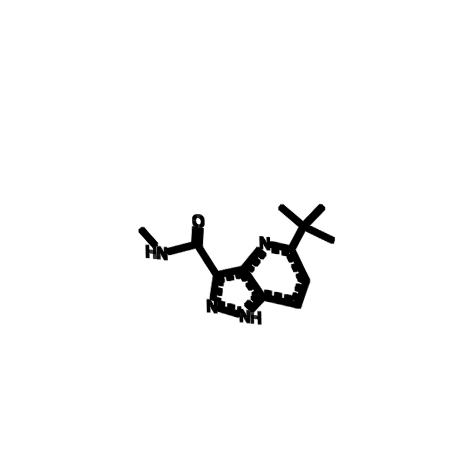 CNC(=O)c1n[nH]c2ccc(C(C)(C)C)nc12